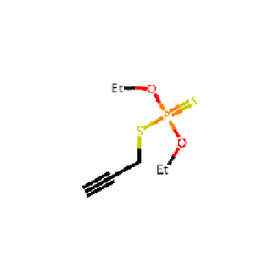 C#CCSP(=S)(OCC)OCC